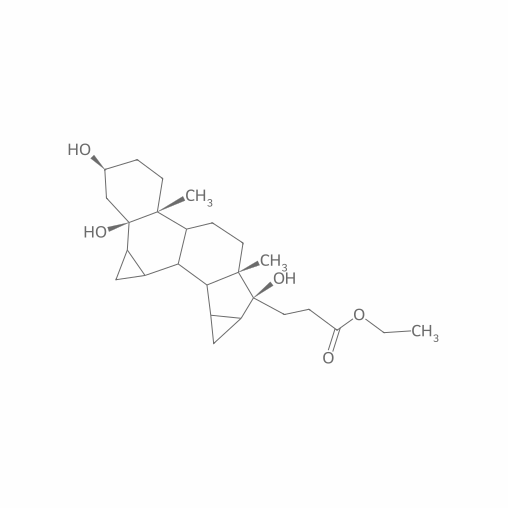 CCOC(=O)CC[C@]1(O)C2CC2C2C3C4CC4[C@]4(O)C[C@@H](O)CC[C@]4(C)C3CC[C@@]21C